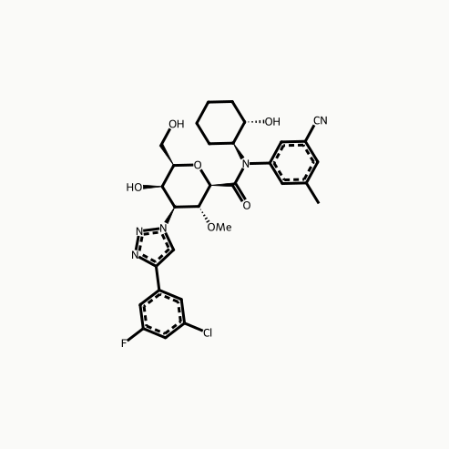 CO[C@@H]1[C@@H](n2cc(-c3cc(F)cc(Cl)c3)nn2)[C@@H](O)[C@@H](CO)O[C@H]1C(=O)N(c1cc(C)cc(C#N)c1)[C@H]1CCCC[C@@H]1O